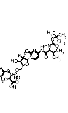 CC(C)C(NC(=O)OC(C)(C)C)C(=O)Nc1ccn([C@@H]2O[C@H](CO[PH](=O)N(Oc3ccccc3)C(C)C(=O)O)[C@@H](O)C2(F)F)c(=O)n1